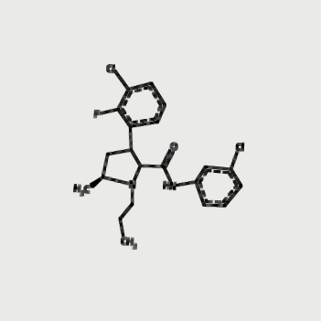 CCCN1C(C(=O)Nc2cccc(Cl)c2)C(c2cccc(Cl)c2F)C[C@@H]1C